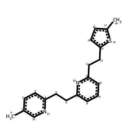 Cc1ccc(CCc2cccc(CCc3ccc(C)s3)n2)nc1